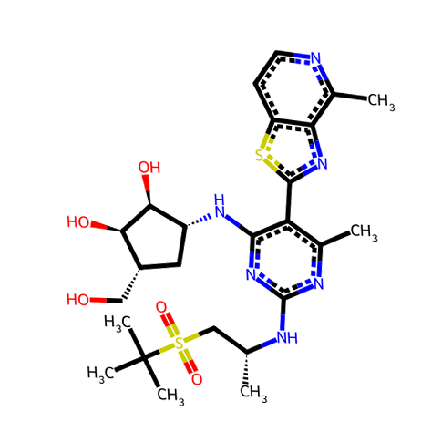 Cc1nc(N[C@H](C)CS(=O)(=O)C(C)(C)C)nc(N[C@@H]2C[C@H](CO)[C@@H](O)[C@H]2O)c1-c1nc2c(C)nccc2s1